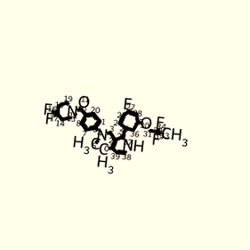 CC1=C(CN(C)c2ccc(C(=O)N3CCC(F)(F)CC3)cc2)C(C2C=CC(F)=CC(OCC(C)(F)F)C2)NC=C1